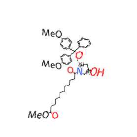 COC(=O)CCCCCCCCCCC(=O)N1C[C@H](O)C[C@H]1COC(c1ccccc1)(c1ccc(OC)cc1)c1ccc(OC)cc1